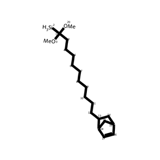 COC([SiH3])(CCCCCCCCCCC1CC2C=CC1C2)OC